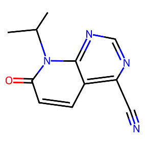 CC(C)n1c(=O)ccc2c(C#N)ncnc21